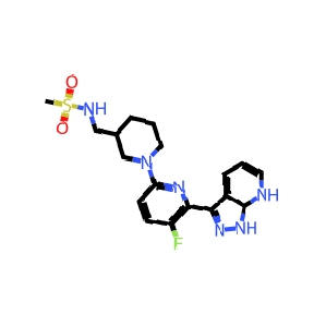 CS(=O)(=O)NCC1CCCN(c2ccc(F)c(C3=NNC4NC=CC=C34)n2)C1